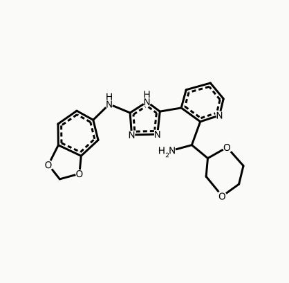 NC(c1ncccc1-c1nnc(Nc2ccc3c(c2)OCO3)[nH]1)C1COCCO1